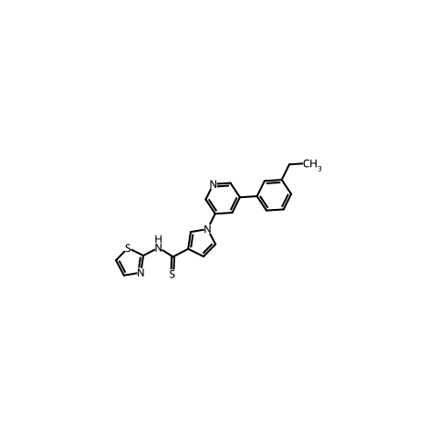 CCc1cccc(-c2cncc(-n3ccc(C(=S)Nc4nccs4)c3)c2)c1